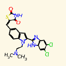 CN(C)CCn1c(-c2nc3cc(Cl)c(Cl)cc3[nH]2)cc2cc(C=C3SC(=O)NC3=O)ccc21